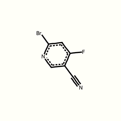 N#Cc1cnc(Br)cc1F